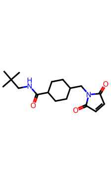 CC(C)(C)CNC(=O)C1CCC(CN2C(=O)C=CC2=O)CC1